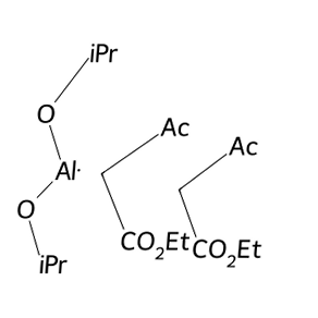 CC(C)[O][Al][O]C(C)C.CCOC(=O)CC(C)=O.CCOC(=O)CC(C)=O